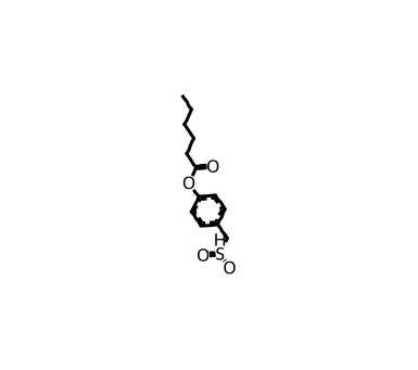 CCCCCC(=O)Oc1ccc(C[SH](=O)=O)cc1